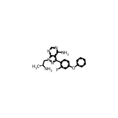 C[C@H](N)Cn1nc(-c2ccc(Oc3ccccc3)cc2F)c2c(N)ncnc21